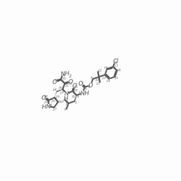 CC(C)C[C@H](NC(=O)OCC(C)(C)c1cccc(Cl)c1)C(=O)N[C@@H](C[C@@H]1CCNC1=O)C(=O)C(N)=O